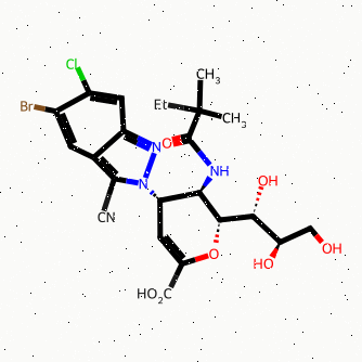 CCC(C)(C)C(=O)N[C@H]1[C@H]([C@H](O)[C@H](O)CO)OC(C(=O)O)=C[C@@H]1n1nc2cc(Cl)c(Br)cc2c1C#N